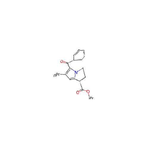 CCCc1cc2n(c1C(=O)c1ccccc1)CCC2C(=O)OC(C)C